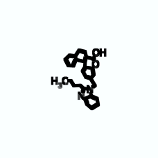 CCCCc1nc2ccccc2n1Cc1ccc(-c2c(C(=O)O)ccc3ccccc23)cc1